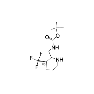 CC(C)(C)OC(=O)NCC1NCCC[C@H]1C(F)(F)F